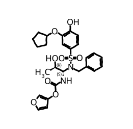 C[C@@H](O)[C@@H](NC(=O)Oc1ccoc1)N(Cc1ccccc1)S(=O)(=O)c1ccc(O)c(OC2CCCC2)c1